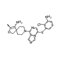 C[C@@H]1OCC2(CCN(c3ncc(Sc4cccc(N)c4Cl)n4cncc34)CC2)[C@@H]1N